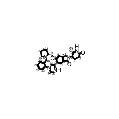 O=C1CCC(N2Cc3cc(OC[C@H]4CCCCN4Cc4ccccc4N4CCNCC4)ccc3C2=O)C(=O)N1